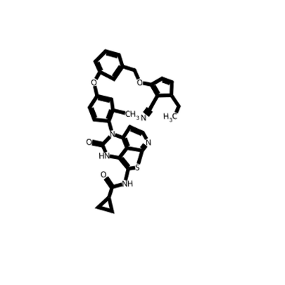 CCC1C=CC(OCc2cccc(Oc3ccc(N4C(=O)Nc5c(NC(=O)C6CC6)sc6nccc4c56)c(C)c3)c2)=C1C#N